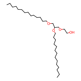 CCCCCCCCCCCCCCOCC(COCCO)OCCCCCCCCCCCCCC